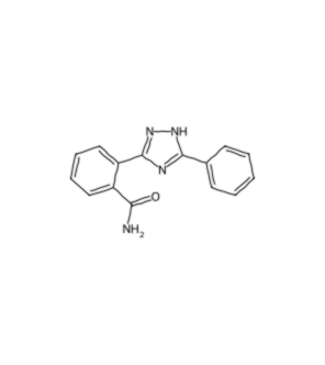 NC(=O)c1ccccc1-c1n[nH]c(-c2ccccc2)n1